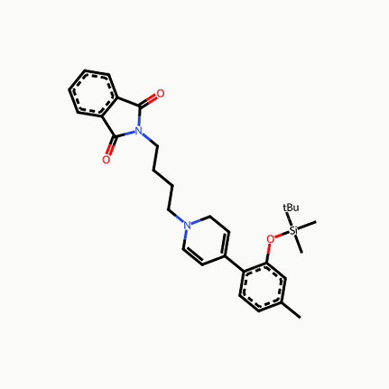 Cc1ccc(C2=CCN(CCCCN3C(=O)c4ccccc4C3=O)C=C2)c(O[Si](C)(C)C(C)(C)C)c1